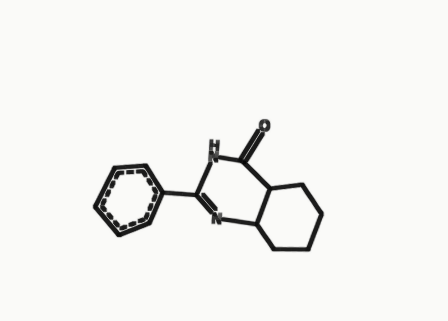 O=C1NC(c2ccccc2)=NC2CCCCC12